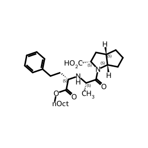 CCCCCCCCOC(=O)[C@H](CCc1ccccc1)N[C@@H](C)C(=O)N1[C@H](C(=O)O)C[C@@H]2CCC[C@@H]21